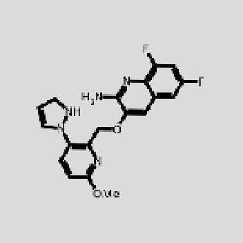 COc1ccc(N2C=CCN2)c(COc2cc3cc(F)cc(F)c3nc2N)n1